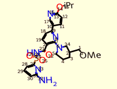 COCC1CCCN(c2nc(-c3ccc(OC(C)C)nc3)ccc2C(=O)NS(=O)(=O)c2cccc(N)n2)C1